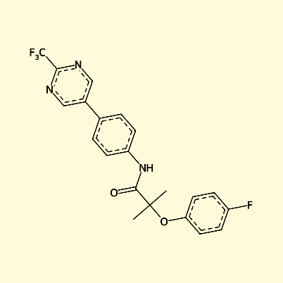 CC(C)(Oc1ccc(F)cc1)C(=O)Nc1ccc(-c2cnc(C(F)(F)F)nc2)cc1